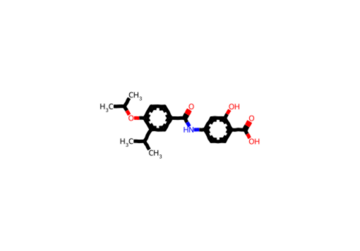 CC(C)Oc1ccc(C(=O)Nc2ccc(C(=O)O)c(O)c2)cc1C(C)C